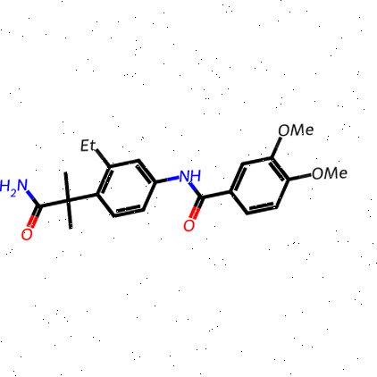 CCc1cc(NC(=O)c2ccc(OC)c(OC)c2)ccc1C(C)(C)C(N)=O